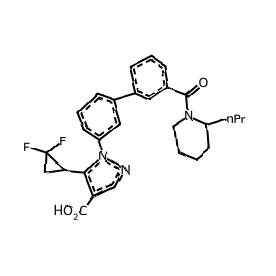 CCCC1CCCCN1C(=O)c1cccc(-c2cccc(-n3ncc(C(=O)O)c3C3CC3(F)F)c2)c1